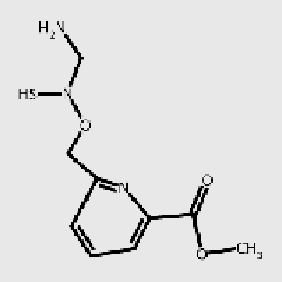 COC(=O)c1cccc(CON(S)CN)n1